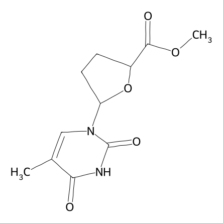 COC(=O)C1CCC(n2cc(C)c(=O)[nH]c2=O)O1